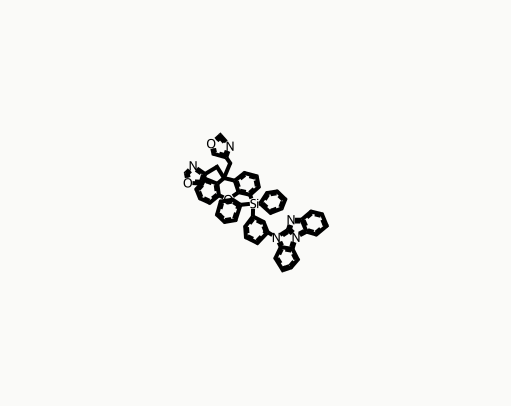 c1ccc([Si](c2ccccc2)(c2cccc(-n3c4ccccc4n4c5ccccc5nc34)c2)c2cccc3c2Oc2ccccc2C3(Cc2cocn2)Cc2cocn2)cc1